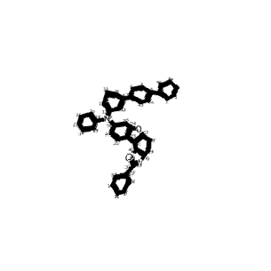 c1ccc(-c2ccc(-c3cccc(N(c4ccccc4)c4ccc5c(c4)oc4ccc6nc(-c7ccccc7)oc6c45)c3)cc2)cc1